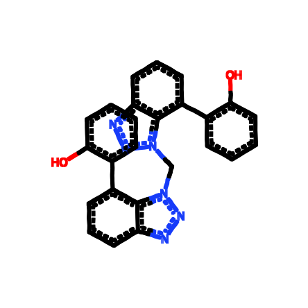 Oc1ccccc1-c1cccc2nnn(Cn3nnc4cccc(-c5ccccc5O)c43)c12